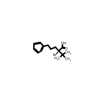 CC(C)(C)[C@](Br)(CCCc1ccccc1)C(=O)O